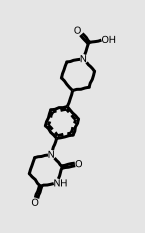 O=C1CCN(c2ccc(C3CCN(C(=O)O)CC3)cc2)C(=O)N1